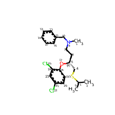 CC(C)SC[C@@H](CCN(C)Cc1ccccc1)Oc1ccc(Cl)cc1Cl